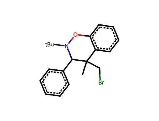 CC1(CBr)c2ccccc2ON(C(C)(C)C)C1c1ccccc1